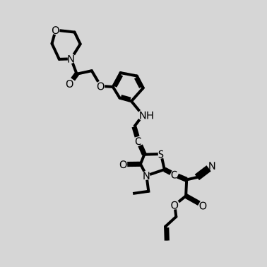 C=CCOC(=O)C(=C=c1sc(=C=CNc2cccc(OCC(=O)N3CCOCC3)c2)c(=O)n1CC)C#N